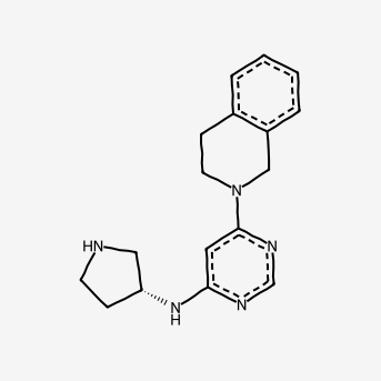 c1ccc2c(c1)CCN(c1cc(N[C@@H]3CCNC3)ncn1)C2